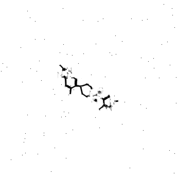 Cc1nc2cc(C)c(C3CCN(S(=O)(=O)c4cn(C)nc4C)CC3)cn2n1